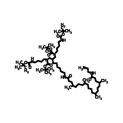 CC(CCCCC(C)CCCC(C)CCC(=O)NCCCCCCC(CN(CCCCNC(=O)OC(C)(C)C)C(=O)OC(C)(C)C)CN(CCCCNC(=O)OC(C)(C)C)C(=O)OC(C)(C)C)CCCC(C)CCC(=O)NCCN